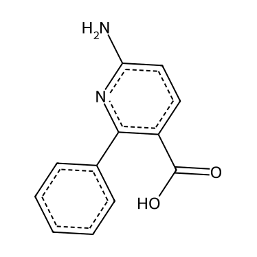 Nc1ccc(C(=O)O)c(-c2ccccc2)n1